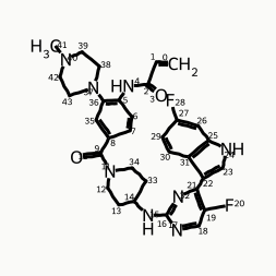 C=CC(=O)Nc1ccc(C(=O)N2CCC(Nc3ncc(F)c(-c4c[nH]c5cc(F)ccc45)n3)CC2)cc1N1CCN(C)CC1